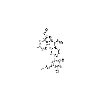 CCOc1cc(N2CCN(C(C=O)n3nc(C=O)c4cccnc43)CC2)c(F)cc1Cl